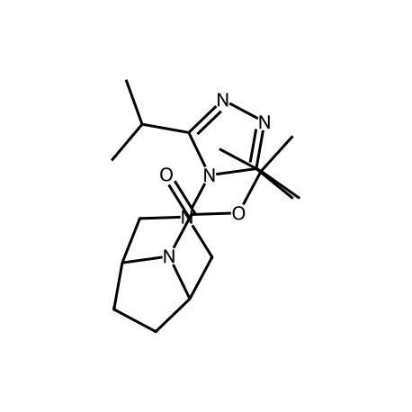 Cc1nnc(C(C)C)n1N1CC2CCC(C1)N2C(=O)OC(C)(C)C